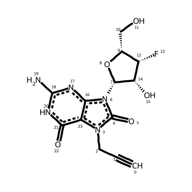 C#CCn1c(=O)n([C@@H]2O[C@H](CO)[C@H](F)[C@@H]2O)c2nc(N)[nH]c(=O)c21